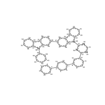 c1ccc(-c2ccc(-c3cccc(-c4ncnc(-n5c6ccccc6c6cc(-c7ccc8c9ccccc9n(-c9ccccc9)c8c7)ccc65)n4)c3)cc2)cc1